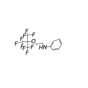 FC(F)(F)C(OCCNc1ccccc1)(C(F)(F)F)C(F)(F)F